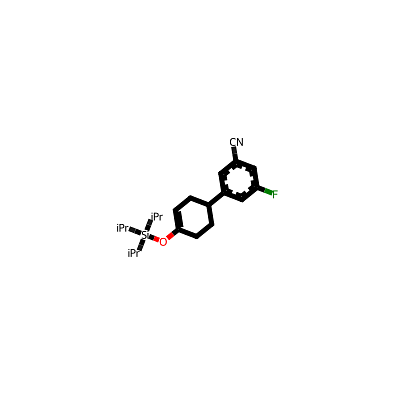 CC(C)[Si](OC1=CCC(c2cc(F)cc(C#N)c2)CC1)(C(C)C)C(C)C